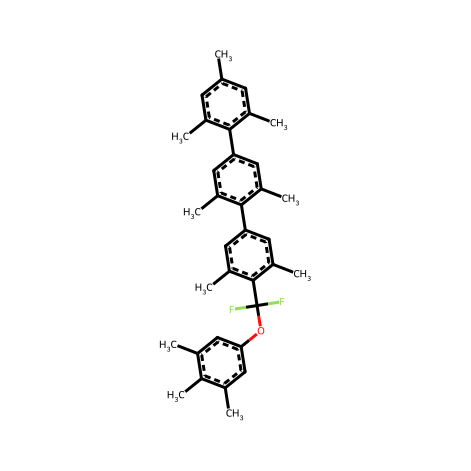 Cc1cc(C)c(-c2cc(C)c(-c3cc(C)c(C(F)(F)Oc4cc(C)c(C)c(C)c4)c(C)c3)c(C)c2)c(C)c1